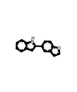 c1ccc2[nH]c(-c3ccc4occc4c3)cc2c1